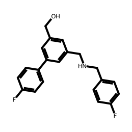 OCc1cc(CNCc2ccc(F)cc2)cc(-c2ccc(F)cc2)c1